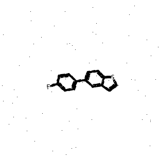 Fc1ccc(-c2ccc3s[c]cc3c2)cc1